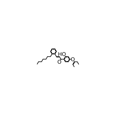 CC=C(CC)Oc1ccc(C(=O)C=Cc2ccccc2CCCCCCC)c(O)c1